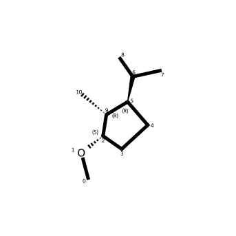 CO[C@H]1CC[C@H](C(C)C)[C@H]1C